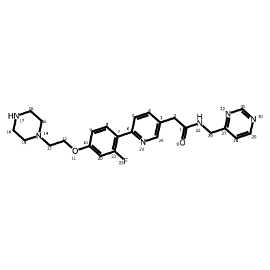 O=C(Cc1ccc(-c2ccc(OCCN3CCNCC3)cc2F)nc1)NCc1ccncn1